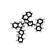 c1ccc2c(c1)ccc1c2c2cc(-n3c4ccccc4c4ccccc43)ccc2n1-c1nc(-c2ccc3c(c2)oc2ccccc23)c2ccccc2n1